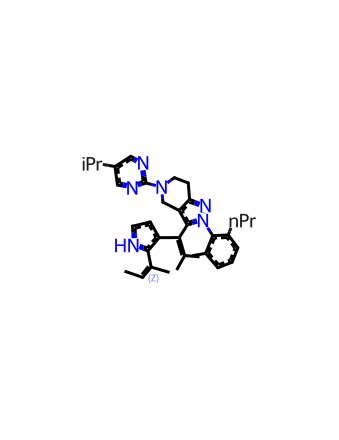 C/C=C(/C)c1[nH]ccc1C(=C(C)C)c1c2c(nn1-c1c(C)cccc1CCC)CCN(c1ncc(C(C)C)cn1)C2